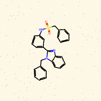 O=S(=O)(Cc1ccccc1)Nc1cccc(-c2nc3ccccc3n2Cc2ccccc2)c1